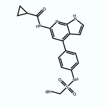 CC(C)(C)CS(=O)(=O)Nc1ccc(-c2cc(NC(=O)C3CC3)nc3[nH]ccc23)cc1